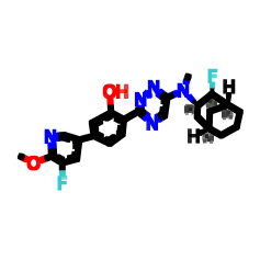 COc1ncc(-c2ccc(-c3ncc(N(C)[C@@H]4C[C@H]5CCC[C@H](C5)[C@@H]4F)nn3)c(O)c2)cc1F